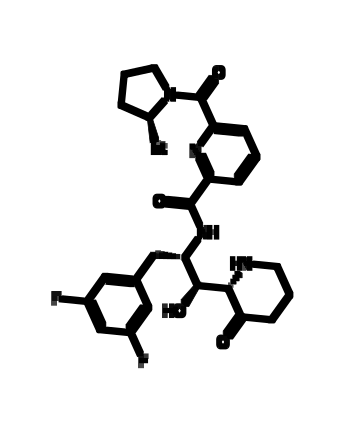 CC[C@H]1CCCN1C(=O)c1cccc(C(=O)N[C@@H](Cc2cc(F)cc(F)c2)[C@H](O)[C@@H]2NCCCC2=O)n1